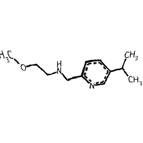 COCCNCc1ccc(C(C)C)cn1